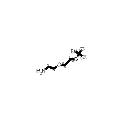 CCC(CC)(CC)OCCOCCN